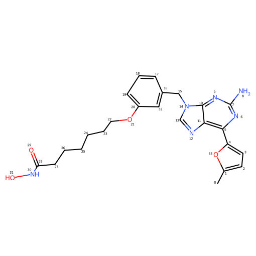 Cc1ccc(-c2nc(N)nc3c2ncn3Cc2cccc(OCCCCCCC(=O)NO)c2)o1